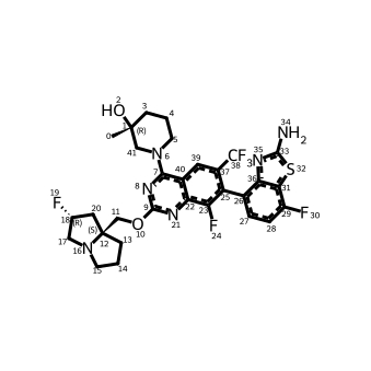 C[C@@]1(O)CCCN(c2nc(OC[C@@]34CCCN3C[C@H](F)C4)nc3c(F)c(-c4ccc(F)c5sc(N)nc45)c(C(F)(F)F)cc23)C1